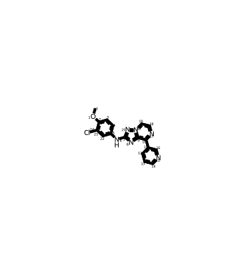 COc1ccc(Nc2nc3c(-c4cccnc4)nccn3n2)cc1Cl